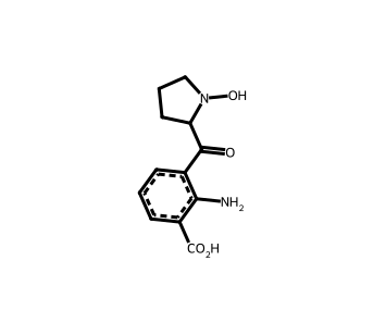 Nc1c(C(=O)O)cccc1C(=O)C1CCCN1O